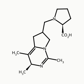 CC1=N[C@@H](C)C(C)=C2CC(CN3CCC[C@H]3C(=O)O)CN12